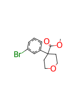 COC(=O)C1(c2cccc(Br)c2)CCOCC1